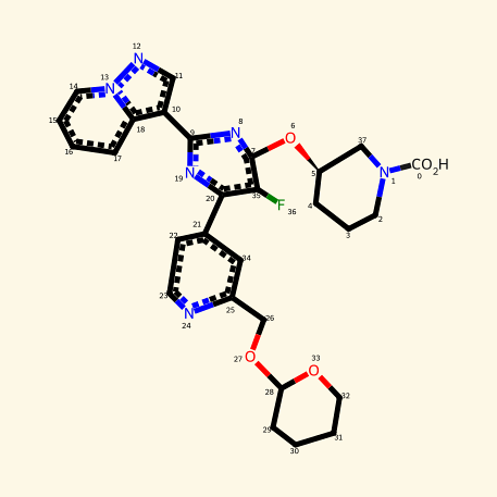 O=C(O)N1CCC[C@@H](Oc2nc(-c3cnn4ccccc34)nc(-c3ccnc(COC4CCCCO4)c3)c2F)C1